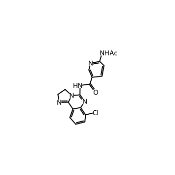 CC(=O)Nc1ccc(C(=O)NC2=Nc3c(Cl)cccc3C3=NCCN23)cn1